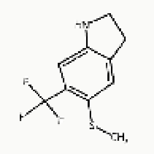 CSc1cc2c(cc1C(F)(F)F)NCC2